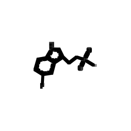 [CH2]S(=O)(=O)CCc1c[nH]c2ccc(F)cc12